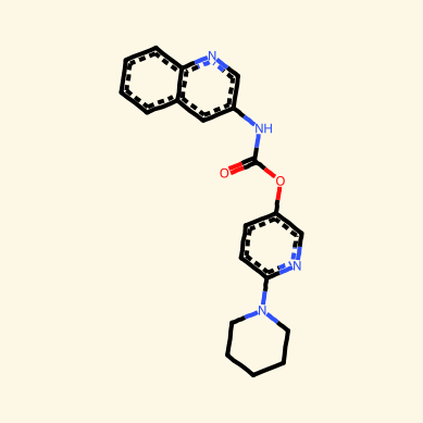 O=C(Nc1cnc2ccccc2c1)Oc1ccc(N2CCCCC2)nc1